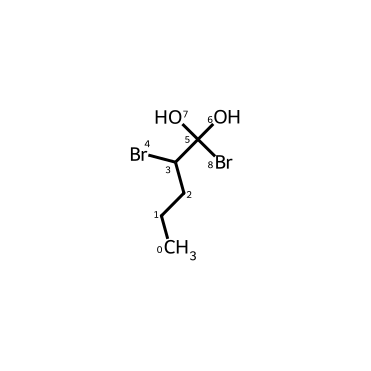 CCCC(Br)C(O)(O)Br